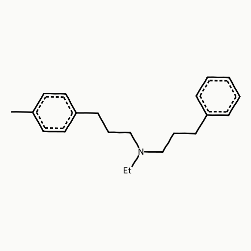 CCN(CCCc1ccccc1)CCCc1ccc(C)cc1